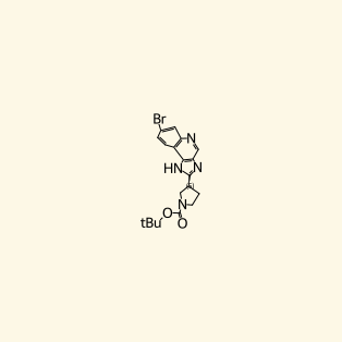 CC(C)(C)OC(=O)N1CC[C@H](c2nc3cnc4cc(Br)ccc4c3[nH]2)C1